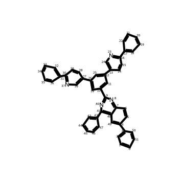 c1ccc(-c2ccc3nc(-c4cc(-c5ccc(-c6ccccc6)nc5)cc(-c5ccc(-c6ccccc6)nc5)c4)nc(-c4ccccc4)c3c2)cc1